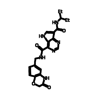 CCC(CC)NC(=O)c1c[nH]c2c(C(=O)NCc3ccc4c(c3)NC(=O)CO4)ncnc12